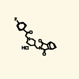 Cl.O=C(CN1CCC(CN2C(=O)C3C4C=CC(CC4)C3C2=O)CC1)c1ccc(F)cc1